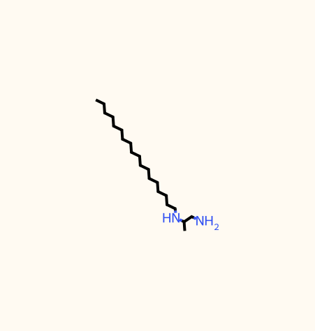 CCCCCCCCCCCCCCCCCCNC(C)CN